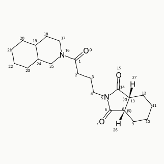 O=C(CCCN1C(=O)[C@H]2CCCC[C@H]2C1=O)N1CCC2CCCCC2C1